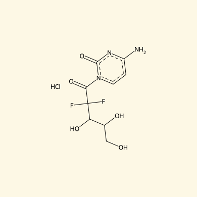 Cl.Nc1ccn(C(=O)C(F)(F)C(O)C(O)CO)c(=O)n1